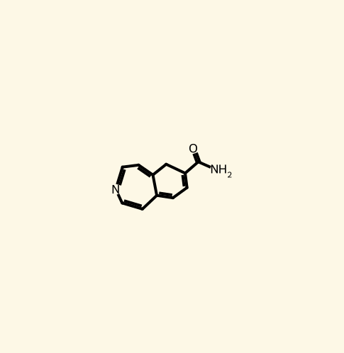 NC(=O)C1=CC=C2C=CN=CC=C2C1